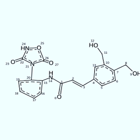 O=C(/C=C/c1ccc(CO)c(CO)c1)Nc1ccccc1-n1c(=O)[nH]oc1=O